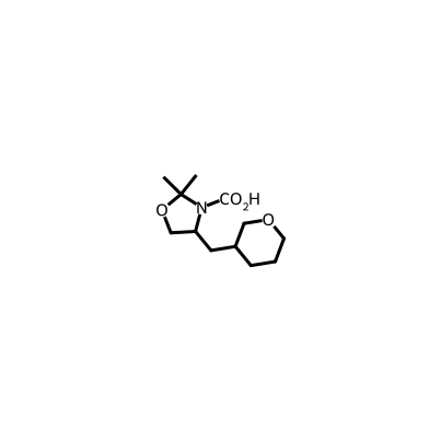 CC1(C)OCC(CC2CCCOC2)N1C(=O)O